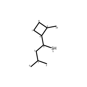 CC(C)CC(S)C1CCC1C